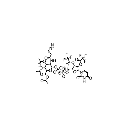 CC(=O)OCC1O[C@H](OP(=O)(O)OP(=O)(O)OC[C@H]2O[C@@H](n3ccc(=O)[nH]c3=O)C(OC(=O)C(F)(F)F)C2OC(=O)C(F)(F)F)C(NC(=O)CN=[N+]=[N-])C(OC(C)=O)[C@H]1OC(C)=O